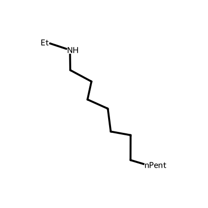 [CH2]CCCCCCCCCCCNCC